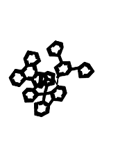 c1ccc(-c2cc(-c3ccccc3)cc(N(c3ccc4c5ccccc5c5ccccc5c4c3)c3cccc4c3C3(c5ccccc5-c5ccccc53)c3ccccc3-4)c2)cc1